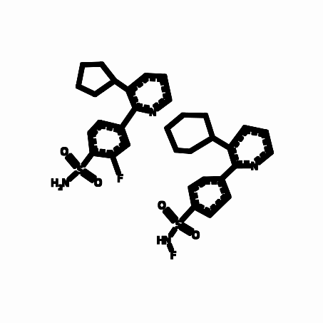 NS(=O)(=O)c1ccc(-c2ncccc2C2CCCC2)cc1F.O=S(=O)(NF)c1ccc(-c2ncccc2C2CCCCC2)cc1